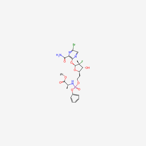 CC(C)OC(=O)[C@H](C)NP(=O)(OCC[C@H]1O[C@@H](Oc2ncc(Br)nc2C(N)=O)[C@](C)(F)[C@@H]1O)Oc1ccccc1